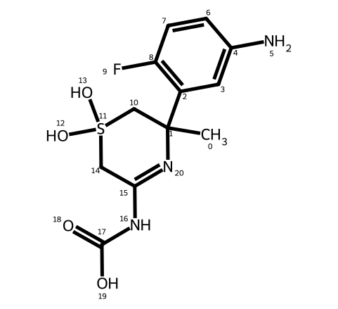 CC1(c2cc(N)ccc2F)CS(O)(O)CC(NC(=O)O)=N1